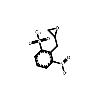 O=[N+]([O-])c1cccc(S(=O)(=O)O)c1CC1CO1